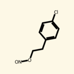 O=NOCCc1ccc(Cl)cc1